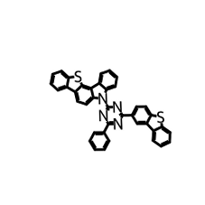 c1ccc(-c2nc(-c3ccc4sc5ccccc5c4c3)nc(-n3c4ccccc4c4c5sc6ccccc6c5ccc43)n2)cc1